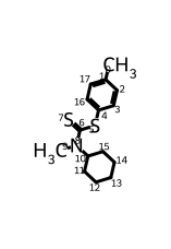 Cc1ccc(SC(=S)N(C)C2CCCCC2)cc1